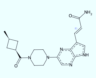 C[C@H]1C[C@@H](C(=O)N2CCN(c3cnc4[nH]cc(/C=C/C(N)=O)c4n3)CC2)C1